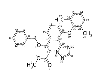 COC(=O)c1c(OCc2ccccc2)c2cccc(Oc3c(C)cccc3C)c2c2ncnn12